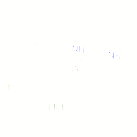 Cl.O=C(NC1CC(Oc2ccc(F)cc2)C1)C1CNCC1c1ccccc1